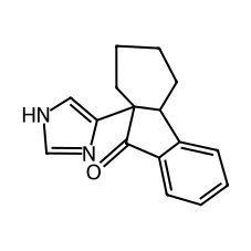 O=C1c2ccccc2C2CCCCC12c1c[nH]cn1